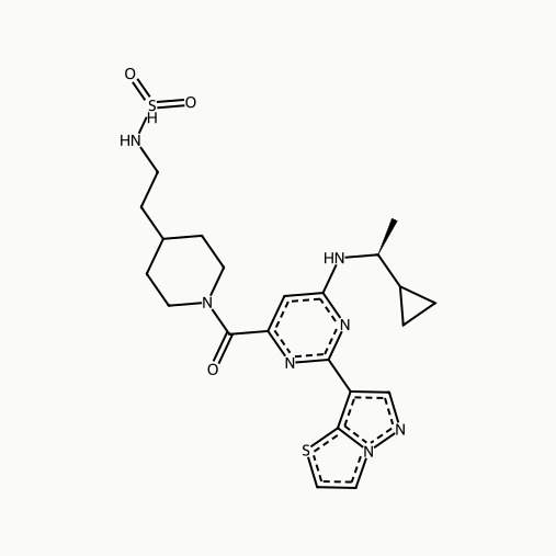 C[C@H](Nc1cc(C(=O)N2CCC(CCN[SH](=O)=O)CC2)nc(-c2cnn3ccsc23)n1)C1CC1